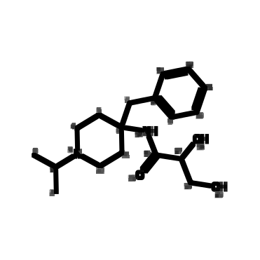 CC(C)N1CCC(Cc2ccccc2)(NC(=O)C(O)CO)CC1